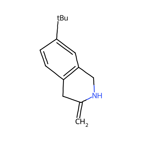 C=C1Cc2ccc(C(C)(C)C)cc2CN1